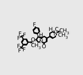 C[C@@H](O[C@H]1CN2C(=O)C=C(C3=CCN(C(C)(C)C)CC3)C[C@H]2[C@@H]1c1ccc(F)cc1)c1cc(C(F)(F)F)cc(C(F)(F)F)c1